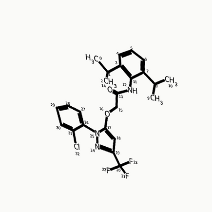 CC(C)c1cccc(C(C)C)c1NC(=O)COc1cc(C(F)(F)F)nn1-c1ccccc1Cl